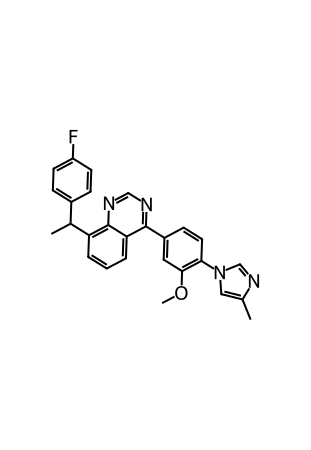 COc1cc(-c2ncnc3c(C(C)c4ccc(F)cc4)cccc23)ccc1-n1cnc(C)c1